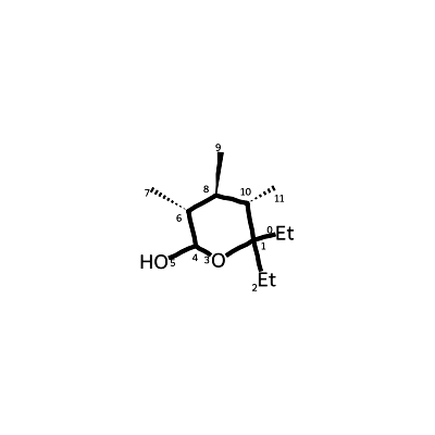 CCC1(CC)OC(O)[C@H](C)[C@@H](C)[C@@H]1C